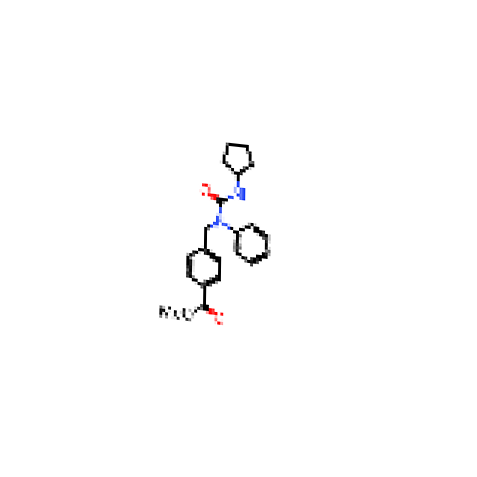 COC(=O)c1ccc(CN(C(=O)NC2CCCC2)c2ccccc2)cc1